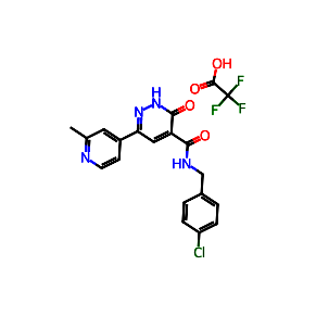 Cc1cc(-c2cc(C(=O)NCc3ccc(Cl)cc3)c(=O)[nH]n2)ccn1.O=C(O)C(F)(F)F